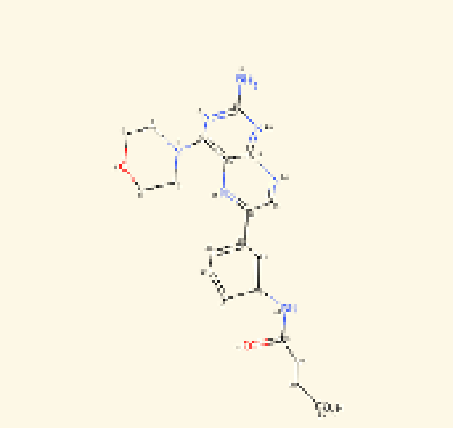 Nc1nc(N2CCOCC2)c2nc(-c3cccc(NC(=O)CCC(=O)O)c3)cnc2n1